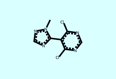 Cn1ncnc1-c1c(Cl)ncnc1Cl